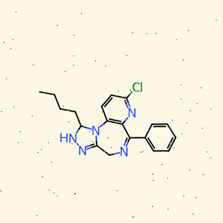 CCCCC1NN=C2CN=C(c3ccccc3)c3nc(Cl)ccc3N21